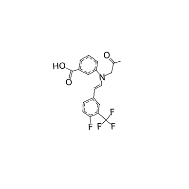 CC(=O)CN(C=Cc1ccc(F)c(C(F)(F)F)c1)c1cccc(C(=O)O)c1